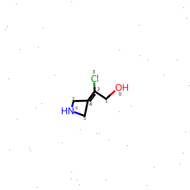 OCC(Cl)=C1CNC1